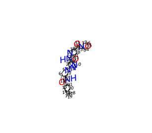 Cn1nc(N2CCC[C@@H](NC(=O)c3ccc(C(C)(C)C)cc3)C2)cc(Nc2ccc(C(=O)N3CCOCC3)cn2)c1=O